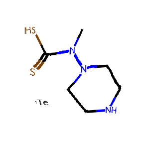 CN(C(=S)S)N1CCNCC1.[Te]